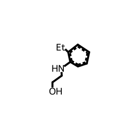 CCc1ccccc1NCCO